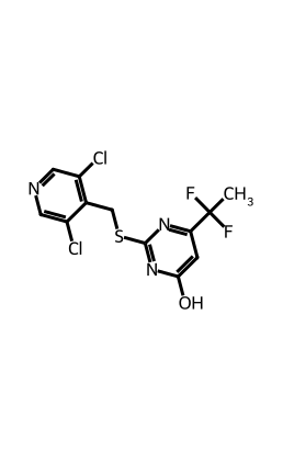 CC(F)(F)c1cc(O)nc(SCc2c(Cl)cncc2Cl)n1